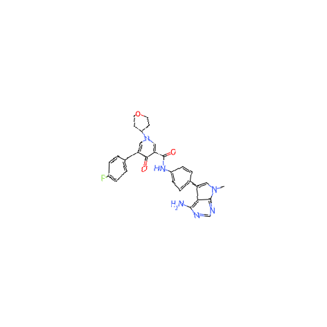 Cn1cc(-c2ccc(NC(=O)c3cn(C4CCOCC4)cc(-c4ccc(F)cc4)c3=O)cc2)c2c(N)ncnc21